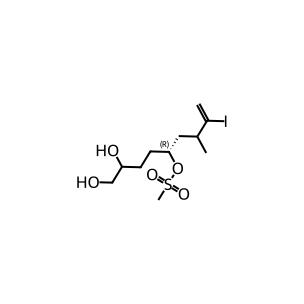 C=C(I)C(C)C[C@@H](CCC(O)CO)OS(C)(=O)=O